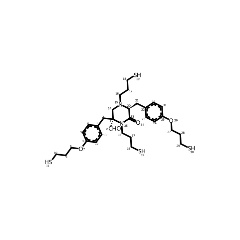 O=C[C@]1(Cc2ccc(OCCCS)cc2)CN(CCCS)[C@@H](Cc2ccc(OCCCS)cc2)C(=O)N1CCCS